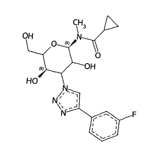 CN(C(=O)C1CC1)[C@@H]1OC(CO)[C@H](O)C(n2cc(-c3cccc(F)c3)nn2)C1O